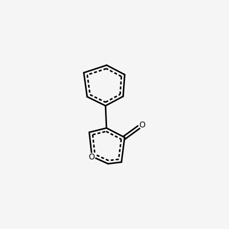 O=c1ccocc1-c1ccccc1